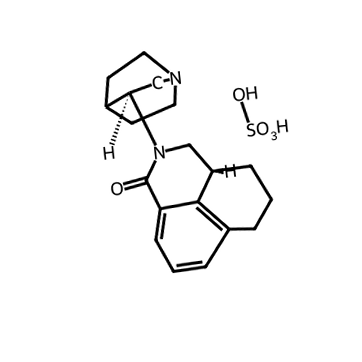 O=C1c2cccc3c2[C@@H](CCC3)CN1[C@@H]1CN2CCC1CC2.O=S(=O)(O)O